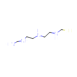 NCNCCNCCNCS